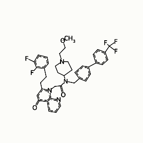 COCCN1CCC(N(Cc2ccc(-c3ccc(C(F)(F)F)cc3)cc2)C(=O)Cn2c(CCc3cccc(F)c3F)cc(=O)c3cccnc32)CC1